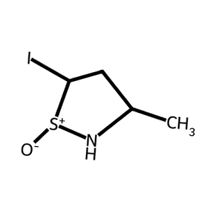 CC1CC(I)[S+]([O-])N1